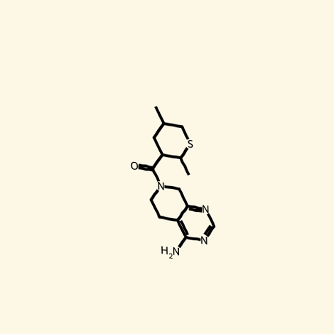 CC1CSC(C)C(C(=O)N2CCc3c(N)ncnc3C2)C1